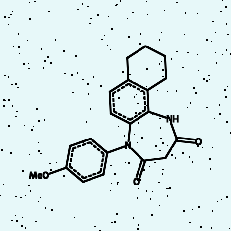 COc1ccc(N2C(=O)CC(=O)Nc3c2ccc2c3CCCC2)cc1